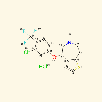 CN1CCc2sccc2C(Oc2ccc(C(F)(F)F)c(Cl)c2)C1.Cl